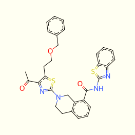 CC(=O)c1nc(N2CCc3cccc(C(=O)Nc4nc5ccccc5s4)c3C2)sc1CCOCc1ccccc1